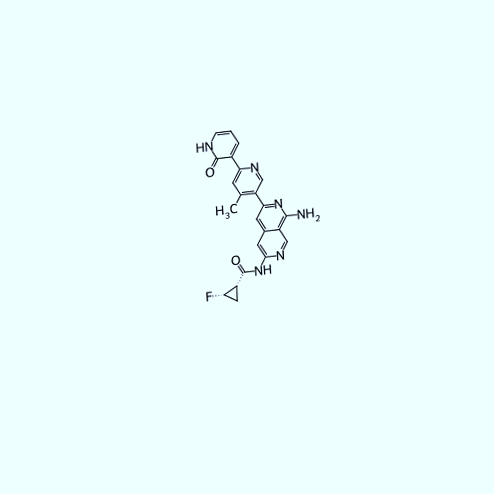 Cc1cc(-c2ccc[nH]c2=O)ncc1-c1cc2cc(NC(=O)[C@@H]3C[C@@H]3F)ncc2c(N)n1